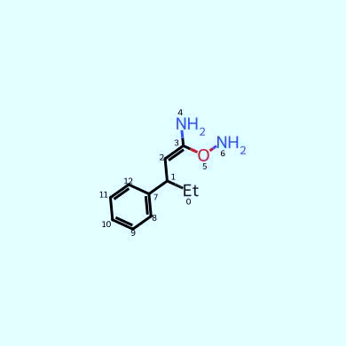 CCC(/C=C(/N)ON)c1ccccc1